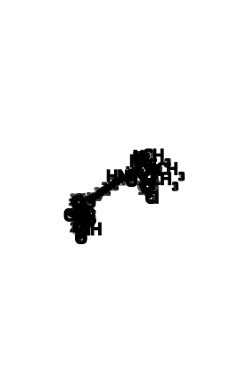 Cc1sc2c(c1C)C(c1ccc(Cl)cc1)=N[C@@H](CC(=O)NCCCCCCCCOc1cccc3c1C(=O)N(C1CCC(=O)NC1=O)C3=O)c1nnc(C)n1-2